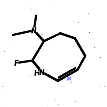 CN(C)C1CCC/C=C\NC1F